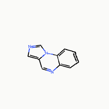 [c]1ncc2cnc3ccccc3n12